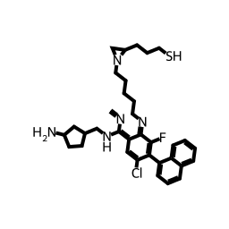 C=N/C(NCC1CCC(N)C1)=C1/C=C(Cl)C(c2cccc3ccccc23)=C(F)/C1=N/CCCCCN1CC1CCCS